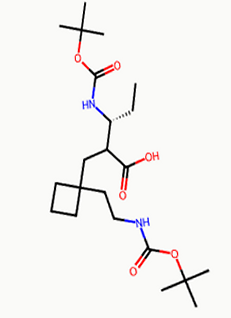 CC[C@@H](NC(=O)OC(C)(C)C)C(CC1(CCNC(=O)OC(C)(C)C)CCC1)C(=O)O